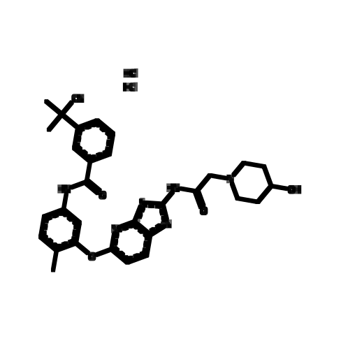 Cc1ccc(NC(=O)c2cccc(C(C)(C)C#N)c2)cc1Oc1ccc2nc(NC(=O)CN3CCC(O)CC3)sc2n1.Cl.Cl